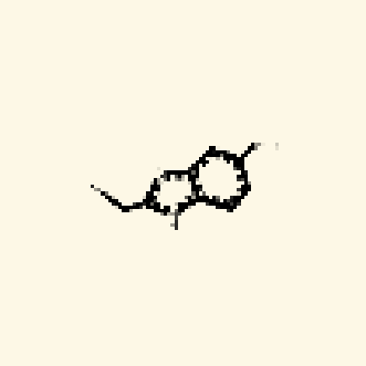 Cc1ccc2[nH]c(CC(C)C)nc2c1